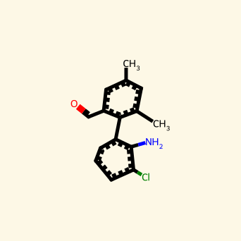 Cc1cc(C)c(-c2cccc(Cl)c2N)c(C=O)c1